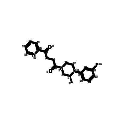 C[C@H]1CN(C(=O)CCC(=O)c2ccccn2)CCN1c1cccc(F)c1